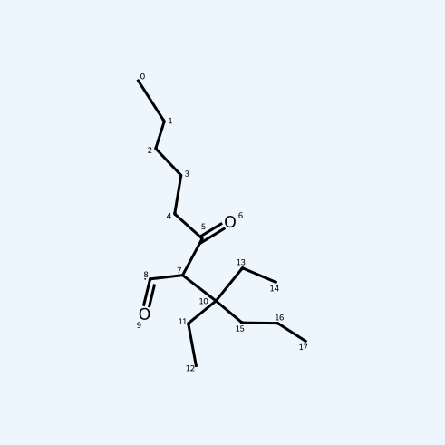 CCCCCC(=O)C([C]=O)C(CC)(CC)CCC